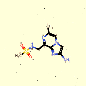 Cc1cn2cc(N)nc2c(CNS(C)(=O)=O)n1